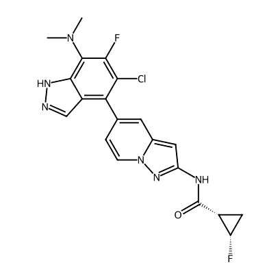 CN(C)c1c(F)c(Cl)c(-c2ccn3nc(NC(=O)[C@@H]4C[C@@H]4F)cc3c2)c2cn[nH]c12